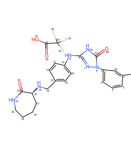 Cc1cccc(-n2nc(Nc3ccc(CN[C@H]4CCCCNC4=O)cc3)[nH]c2=O)c1.O=C(O)C(F)(F)F